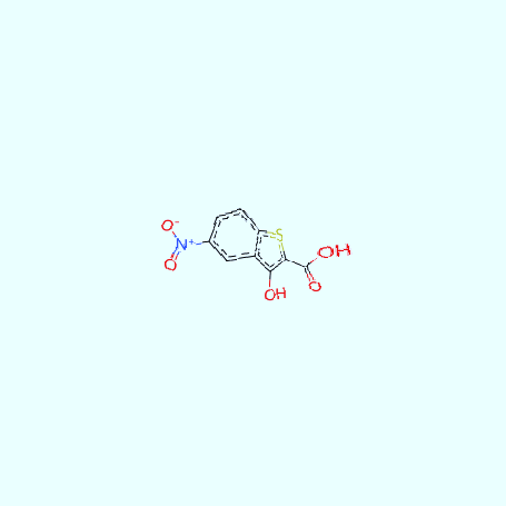 O=C(O)c1sc2ccc([N+](=O)[O-])cc2c1O